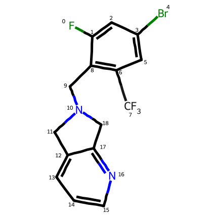 Fc1cc(Br)cc(C(F)(F)F)c1CN1Cc2cccnc2C1